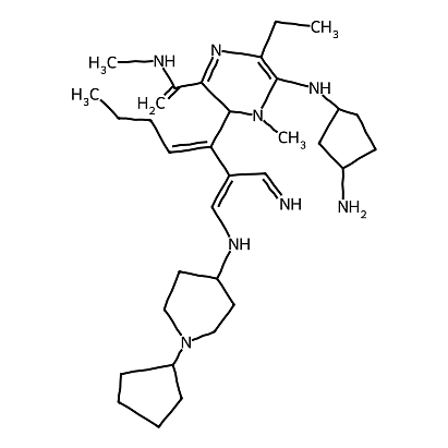 C=C(NC)C1=NC(CC)=C(NC2CCC(N)C2)N(C)C1C(=C\CCC)/C(C=N)=C/NC1CCN(C2CCCC2)CC1